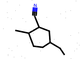 CCC1CCC(C)C(C#N)C1